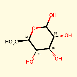 O=C(O)[C@H]1OC(O)[C@H](O)[C@H](O)[C@@H]1O